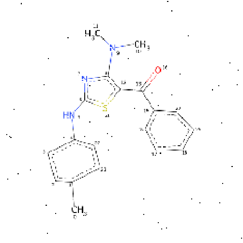 Cc1ccc(Nc2nc(N(C)C)c(C(=O)c3ccccc3)s2)cc1